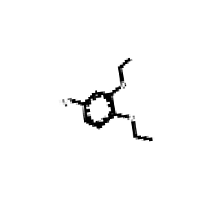 CCOc1ccc(N)cc1OCC